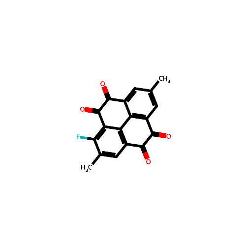 Cc1cc2c3c(c1)c(=O)c(=O)c1c(F)c(C)cc(c1-3)c(=O)c2=O